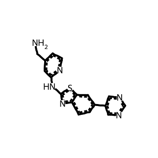 NCc1ccnc(Nc2nc3ccc(-c4cncnc4)cc3s2)c1